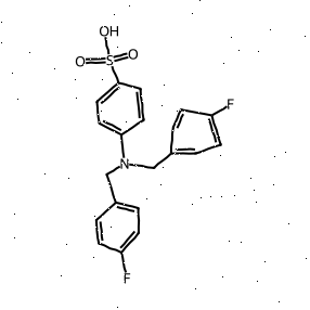 O=S(=O)(O)c1ccc(N(Cc2ccc(F)cc2)Cc2ccc(F)cc2)cc1